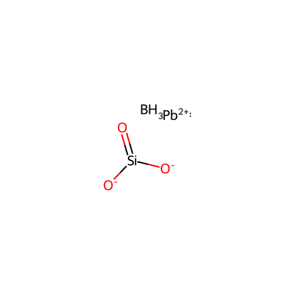 B.O=[Si]([O-])[O-].[Pb+2]